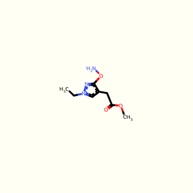 CCn1cc(CC(=O)OC)c(ON)n1